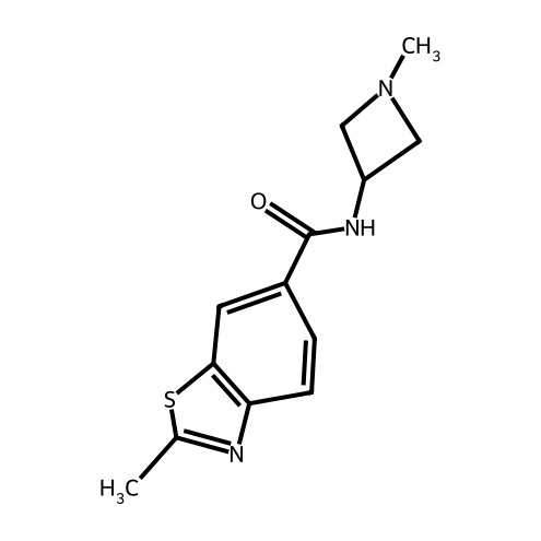 Cc1nc2ccc(C(=O)NC3CN(C)C3)cc2s1